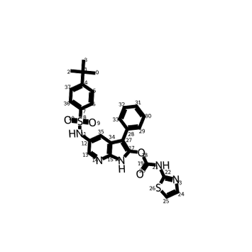 CC(C)(C)c1ccc(S(=O)(=O)Nc2cnc3[nH]c(OC(=O)Nc4nccs4)c(-c4ccccc4)c3c2)cc1